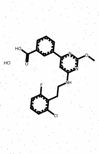 COc1nc(NCCc2c(F)cccc2Cl)cc(-c2cccc(C(=O)O)c2)n1.Cl